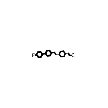 Fc1ccc(-c2ccc(CC[C@H]3CC[C@H](/C=C/Cl)CC3)cc2)cc1